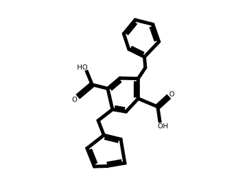 O=C(O)c1cc(Cc2ccccc2)c(C(=O)O)cc1Cc1ccccc1